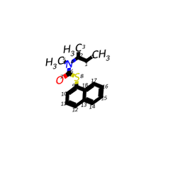 CCC(C)N(C)C(=O)Sc1cccc2ccccc12